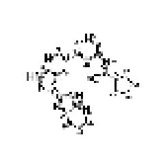 O=C(Nc1cncc(-c2cnc3[nH]nc(-c4nc5cccnc5[nH]4)c3c2)c1)C1CCCC1